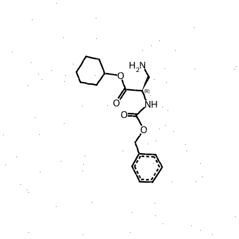 NC[C@@H](NC(=O)OCc1ccccc1)C(=O)OC1CCCCC1